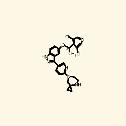 C[C@@H](Oc1ccc2[nH]nc(-c3ccc(N4CCNC5(CC5)C4)nc3)c2c1)c1c(Cl)cncc1Cl